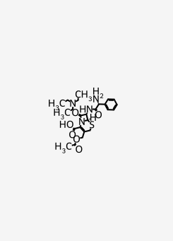 CC(=O)OCC1=C(C(=O)O)N2C(=O)[C@@H](NC(=O)[C@H](N)c3ccccc3)[C@H]2SC1.CCN(CC)CC